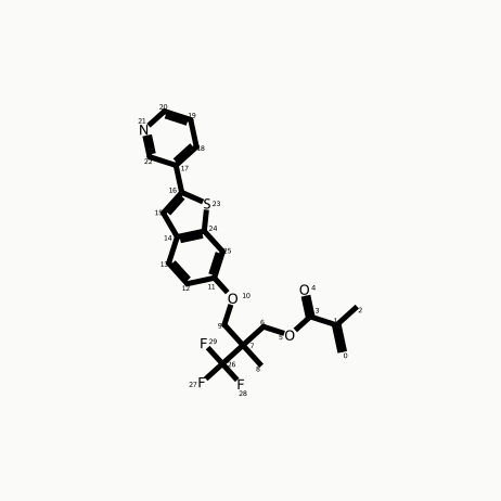 C=C(C)C(=O)OCC(C)(COc1ccc2cc(-c3cccnc3)sc2c1)C(F)(F)F